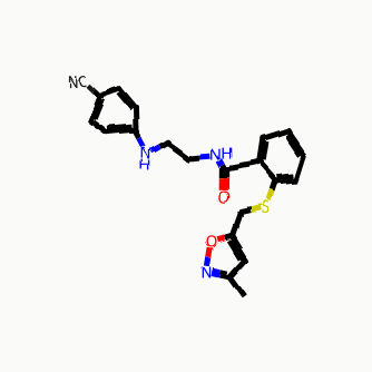 Cc1cc(CSc2ccccc2C(=O)NCCNc2ccc(C#N)cc2)on1